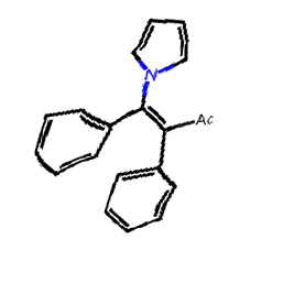 CC(=O)C(=C(c1ccccc1)n1cccc1)c1ccccc1